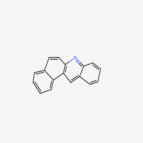 [c]1c2ccccc2nc2ccc3ccccc3c12